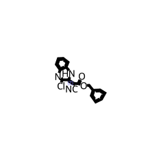 N#C/C(C(=O)OCc1ccccc1)=C1/Nc2ccccc2N=C1Cl